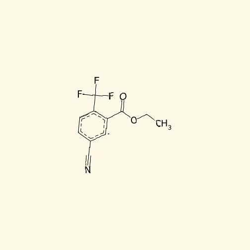 CCOC(=O)c1[c]c(C#N)ccc1C(F)(F)F